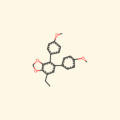 CCc1[c]c(-c2ccc(OC)cc2)c(-c2ccc(OC)cc2)c2c1OCO2